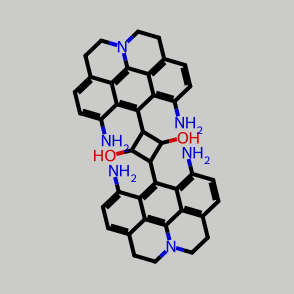 Nc1ccc2c3c4c5c(ccc(N)c5c(C5C(O)C(c6c7c(N)ccc8c7c7c9c(ccc(N)c69)CCN7CC8)C5O)c13)CCN4CC2